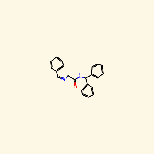 O=C(C/N=C\c1ccccc1)NC(c1ccccc1)c1ccccc1